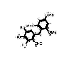 CCc1cc(Cc2c(OC)cc(OC)cc2OC)c(C=O)c(O)c1O